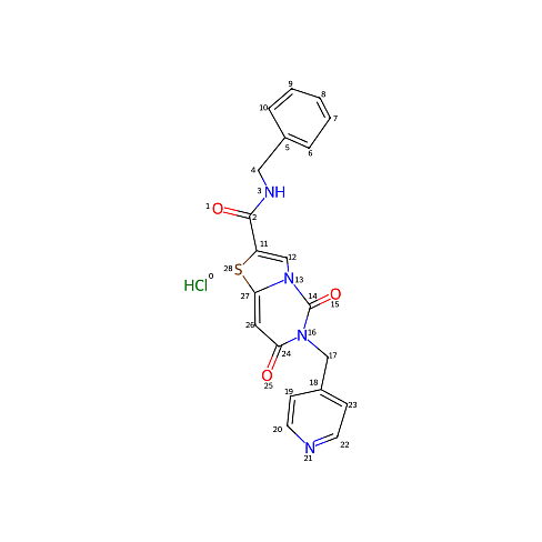 Cl.O=C(NCc1ccccc1)c1cn2c(=O)n(Cc3ccncc3)c(=O)cc2s1